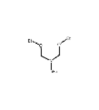 [CH2]CCCN(COCC)COCC